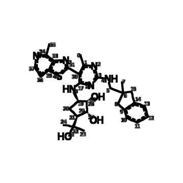 Cc1nc(NCC2(C)Cc3ccccc3C2)nc(N[C@@H]2C[C@H](C(C)(C)O)[C@@H](O)[C@H]2O)c1-c1nc2c(C)nccc2s1